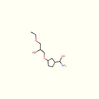 CCOCC(O)COC1CCC(C(N)O)C1